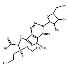 CCOP(=O)(OCC)C(Nc1nn(C)c2c(=O)n(C3OC(CO)C(O)C3O)nnc12)C(=O)O